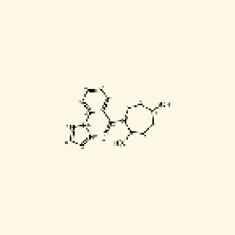 CC1CCC(O)CCN1C(=O)c1ccccc1-n1nccn1